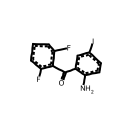 Nc1ccc(I)cc1C(=O)c1c(F)cccc1F